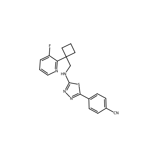 N#Cc1ccc(-c2nnc(NCC3(c4ncccc4F)CCC3)s2)cc1